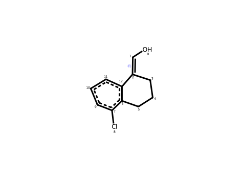 O/C=C1\CCCc2c(Cl)cccc21